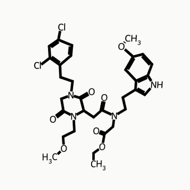 CCOC(=O)CN(CCc1c[nH]c2ccc(OC)cc12)C(=O)CC1C(=O)N(CCc2ccc(Cl)cc2Cl)CC(=O)N1CCOC